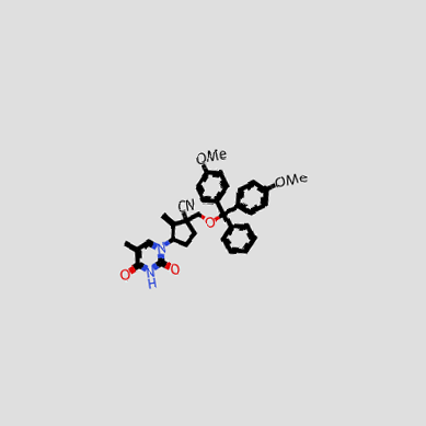 C=C1C(n2cc(C)c(=O)[nH]c2=O)CCC1(C#N)COC(c1ccccc1)(c1ccc(OC)cc1)c1ccc(OC)cc1